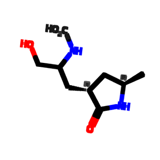 C[C@@H]1C[C@@H](CC(CO)NC(=O)O)C(=O)N1